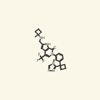 Cn1cnnc1C1(c2cccc(-n3cc(C(F)(F)F)c4cc(CNC5(C)CCC5)[nH]c4c3=O)c2)CCC1